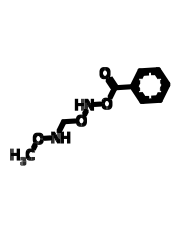 CONCONOC(=O)c1ccccc1